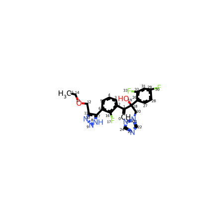 C=C(c1cccc(-c2[nH]nnc2COCC)c1F)C(O)(Cn1cncn1)c1ccc(F)cc1F